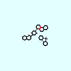 CC1(C)c2ccccc2-c2ccc(N(c3ccc4ccccc4c3)c3cc4c(cc3-c3ccccc3)oc3c5ccccc5ccc43)cc21